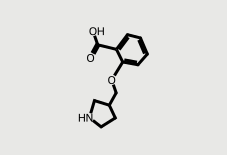 O=C(O)c1ccccc1OCC1CCNC1